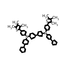 Cc1sc(-c2ccc(N(c3ccc(-c4ccccc4)cc3)c3ccc(-c4ccc(N(c5ccc(-c6ccccc6)cc5)c5ccc(-c6sc(C)c(C)c6C)cc5)cc4)cc3)cc2)c(C)c1C